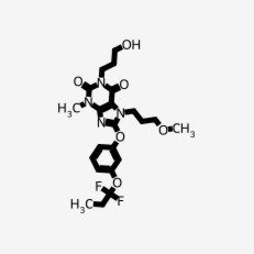 CCC(F)(F)Oc1cccc(Oc2nc3c(c(=O)n(CCCO)c(=O)n3C)n2CCCOC)c1